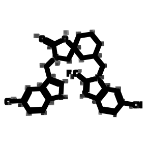 N#Cc1ccc2nc(C(F)(F)F)n(CC3CCCC4(C3)CN(Cc3csc5ccc(Cl)cc35)C(=O)O4)c2c1